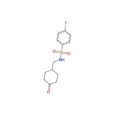 O=C1CCC(CNS(=O)(=O)c2ccc(F)cc2)CC1